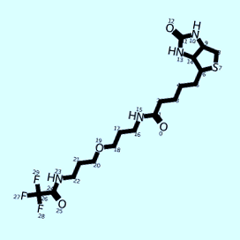 O=C(CCCCC1SCC2NC(=O)NC21)NCCCOCCCNC(=O)C(F)(F)F